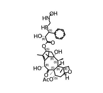 CC(=O)O[C@H]1C[C@H]2OC[C@@]2(C)[C@H]2[C@H](C)[C@]3(O)C[C@H](OC(=O)[C@H](O)[C@@H](BCNO)c4ccccc4)C(C)=C([C@@H](O)C(=O)[C@]12C)C3(C)C